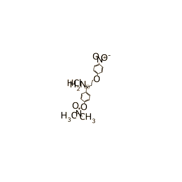 CN(C)C(=O)Oc1ccc([C@@H](N)CCOc2ccc([N+](=O)[O-])cc2)cc1.Cl